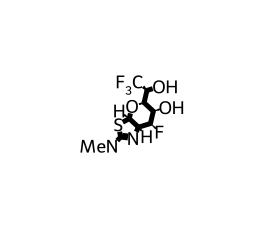 CNC1=N[C@@H]2[C@@H](F)[C@@H](O)[C@@H]([C@H](O)C(F)(F)F)O[C@@H]2S1